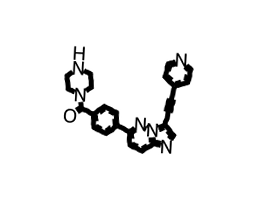 O=C(c1ccc(-c2ccc3ncc(C#Cc4ccncc4)n3n2)cc1)N1CCNCC1